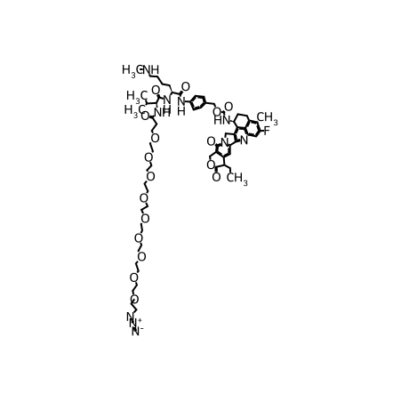 CCC1C(=O)OCc2c1cc1n(c2=O)Cc2c-1nc1cc(F)c(C)c3c1c2[C@@H](NC(=O)OCc1ccc(NC(=O)[C@H](CCCCNC)NC(=O)[C@@H](NC(=O)CCOCCOCCOCCOCCOCCOCCOCCOCCOCCN=[N+]=[N-])C(C)C)cc1)CC3